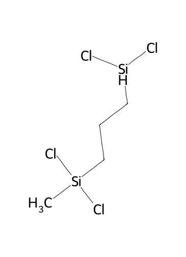 C[Si](Cl)(Cl)CCC[SiH](Cl)Cl